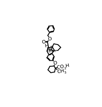 CC1(C(=O)O)CCCCC1Oc1ccc2c(c1)[C@@]13CCCC[C@H]1[C@@H](C2)N(C(=O)OCc1ccccc1)CC3